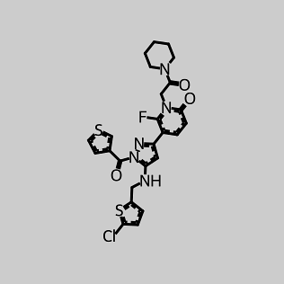 O=C(Cn1c(F)c(-c2cc(NCc3ccc(Cl)s3)n(C(=O)c3ccsc3)n2)ccc1=O)N1CCCCC1